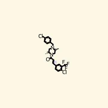 C[C@@H]1CN(Cc2ccc(Cl)cc2)[C@@H](C)CN1C(=O)/C=C/c1ccc(Cl)c(C(F)(F)F)c1